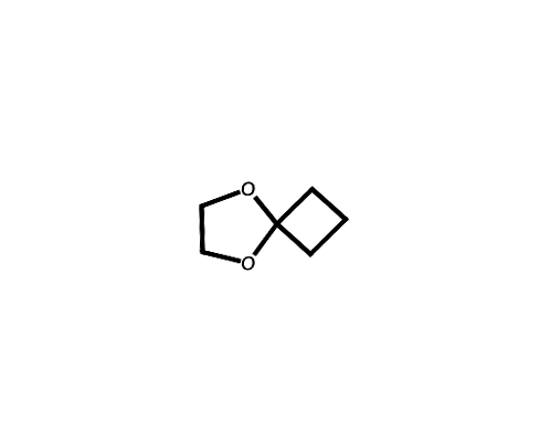 C1CC2(C1)OCCO2